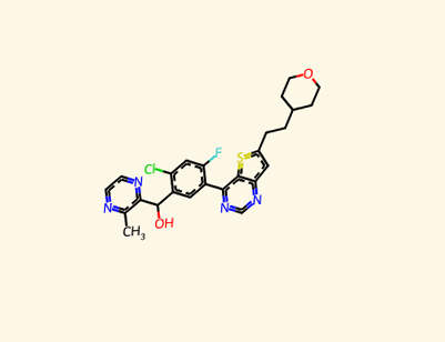 Cc1nccnc1C(O)c1cc(-c2ncnc3cc(CCC4CCOCC4)sc23)c(F)cc1Cl